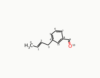 CC=CCc1cccc(C=O)c1